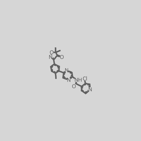 Cc1ccc(C2=NOC(C)(C)C2=O)cc1-c1cnc(NC(=O)c2ccncc2Cl)cn1